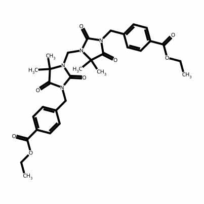 CCOC(=O)c1ccc(CN2C(=O)N(CN3C(=O)N(Cc4ccc(C(=O)OCC)cc4)C(=O)C3(C)C)C(C)(C)C2=O)cc1